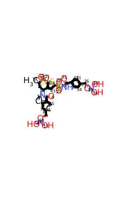 CCN(C(=O)c1ccc(CON(O)O)cc1)[C@H]1CC(C)S(=O)(=O)c2sc(S(=O)(=O)NC(=O)c3ccc(CON(O)O)cc3)cc21